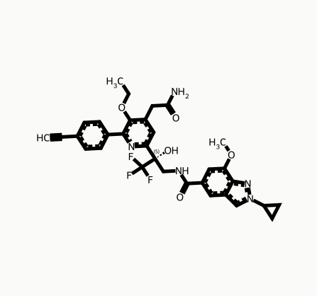 C#Cc1ccc(-c2nc([C@@](O)(CNC(=O)c3cc(OC)c4nn(C5CC5)cc4c3)C(F)(F)F)cc(CC(N)=O)c2OCC)cc1